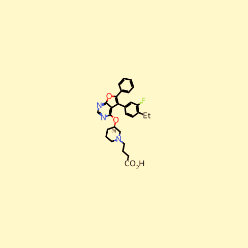 CCc1ccc(-c2c(-c3ccccc3)oc3ncnc(O[C@@H]4CCCN(CCCC(=O)O)C4)c23)cc1F